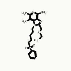 CCOCc1nc2c(N)nc(C)c(C)c2n1CCCCCS(=O)(=O)c1ccccc1